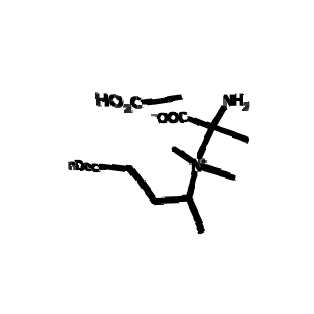 CC(=O)O.CCCCCCCCCCCCC(C)[N+](C)(C)C(C)(N)C(=O)[O-]